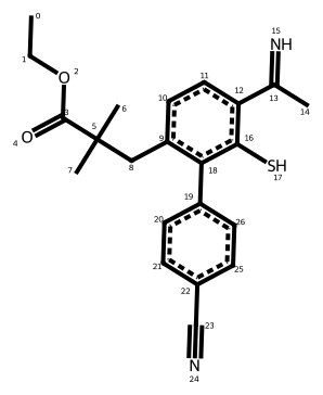 CCOC(=O)C(C)(C)Cc1ccc(C(C)=N)c(S)c1-c1ccc(C#N)cc1